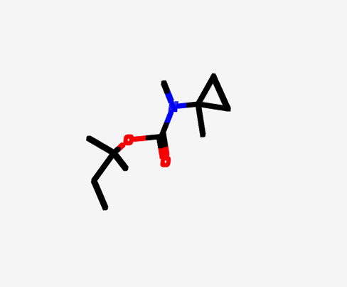 CCC(C)(C)OC(=O)N(C)C1(C)CC1